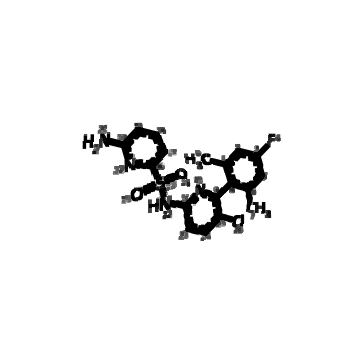 Cc1cc(F)cc(C)c1-c1nc(NS(=O)(=O)c2cccc(N)n2)ccc1Cl